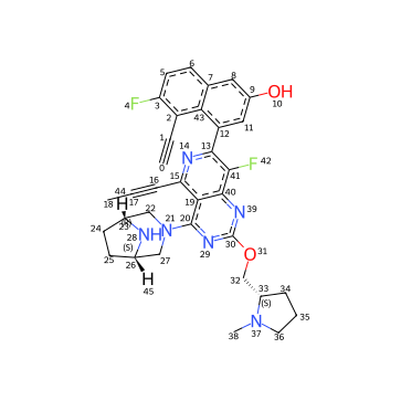 C#Cc1c(F)ccc2cc(O)cc(-c3nc(C#CC)c4c(N5C[C@H]6CC[C@@H](C5)N6)nc(OC[C@@H]5CCCN5C)nc4c3F)c12